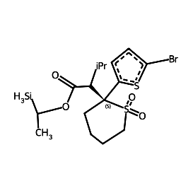 CC([SiH3])OC(=O)C(C(C)C)[C@]1(c2ccc(Br)s2)CCCCS1(=O)=O